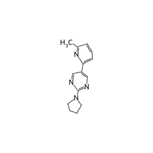 Cc1cccc(-c2cnc(N3CCCC3)nc2)n1